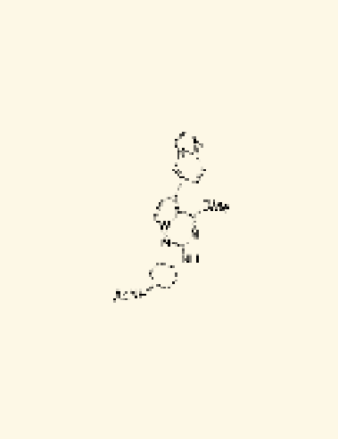 COc1nc(N[C@H]2CC[C@H](NC(C)=O)CC2)nn2ccc(-c3ccc4nccn4c3)c12